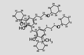 CC1(c2cc(CCCOC3CCCCC3)cc(Cc3cc(CCCOC4CCCCC4)cc(C4(C)CCCCC4)c3O)c2O)CCCCC1